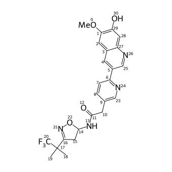 COc1cc2cc(-c3ccc(CC(=O)NC4CC(C(C)(C)C(F)(F)F)=NO4)cn3)cnc2cc1O